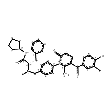 Cc1cc(C(=O)c2ccc(=O)n(-c3ccc(CN(C)[C@@H](Cc4ccccc4)C(=O)OC4CCCC4)cc3)c2N)ccc1F